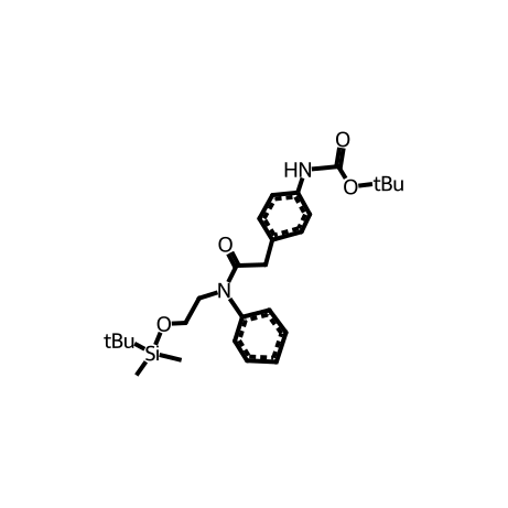 CC(C)(C)OC(=O)Nc1ccc(CC(=O)N(CCO[Si](C)(C)C(C)(C)C)c2ccccc2)cc1